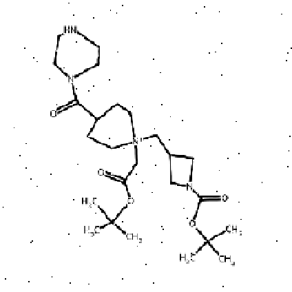 CC(C)(C)OC(=O)C[N+]1(CC2CN(C(=O)OC(C)(C)C)C2)CCC(C(=O)N2CCNCC2)CC1